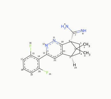 CC1(C)[C@H]2CC[C@]1(C(=N)N)c1nnc(-c3c(F)cccc3F)cc12